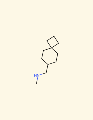 CNCC1CCC2(CCC2)CC1